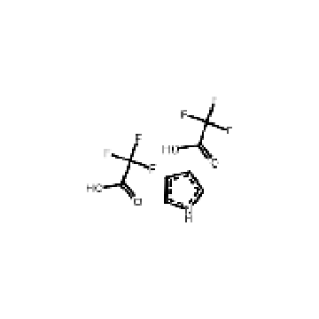 O=C(O)C(F)(F)F.O=C(O)C(F)(F)F.c1cc[nH]c1